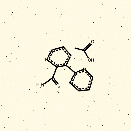 CC(=O)O.NC(=S)c1ncccc1-c1ccccn1